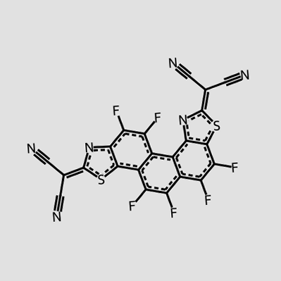 N#CC(C#N)=c1nc2c(s1)c(F)c(F)c1c(F)c(F)c3c4sc(=C(C#N)C#N)nc4c(F)c(F)c3c12